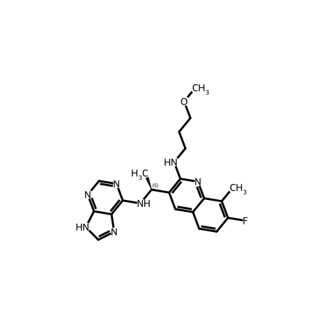 COCCCNc1nc2c(C)c(F)ccc2cc1[C@H](C)Nc1ncnc2[nH]cnc12